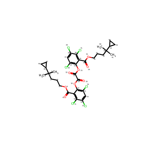 CC(C)(CCCOC(=O)c1c(Cl)c(Cl)cc(Cl)c1OC(=O)C(=O)Oc1c(Cl)cc(Cl)c(Cl)c1C(=O)OCCCC(C)(C)C1CC1)C1CC1